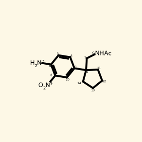 CC(=O)NCC1(c2ccc(N)c([N+](=O)[O-])c2)CCCC1